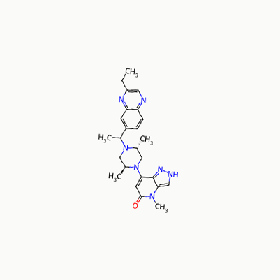 CCc1cnc2ccc(C(C)N3C[C@H](C)N(c4cc(=O)n(C)c5c[nH]nc45)C[C@H]3C)cc2n1